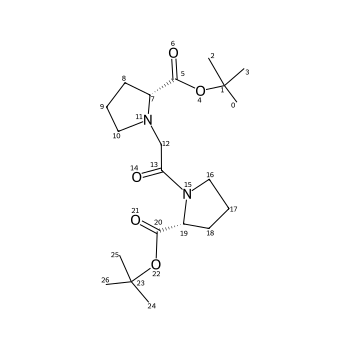 CC(C)(C)OC(=O)[C@H]1CCCN1CC(=O)N1CCC[C@@H]1C(=O)OC(C)(C)C